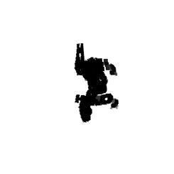 NC(=O)c1cccc(S(=O)(=O)c2ccc(NCC3CCOCC3)c([N+](=O)[O-])c2)c1Oc1cnc2[nH]ccc2c1